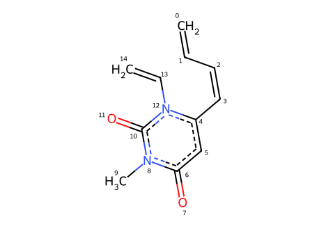 C=C/C=C\c1cc(=O)n(C)c(=O)n1C=C